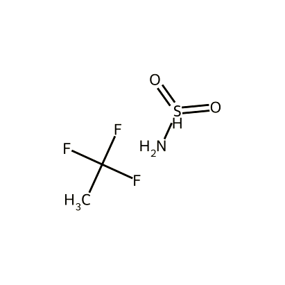 CC(F)(F)F.N[SH](=O)=O